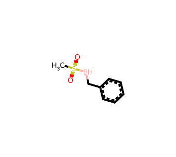 CS(=O)(=O)BCc1ccccc1